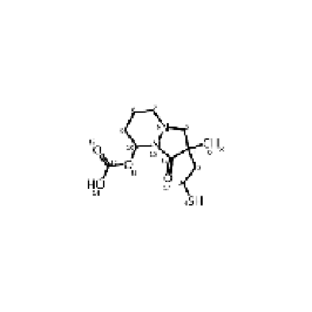 CC1(CCS)CN2CCCC(OC(=O)O)N2C1=O